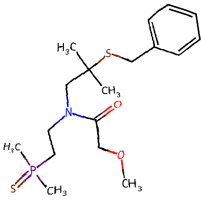 COCC(=O)N(CCP(C)(C)=S)CC(C)(C)SCc1ccccc1